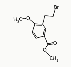 COC(=O)c1ccc(OC)c(CCBr)c1